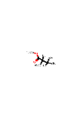 CCCCCCCCOC(=O)C(CC)(CCCCCCCC)C(CCC)(CCCC)CCCC